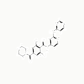 O=C(Nc1ccnc(Nc2ccncn2)c1)c1c(Cl)cc(C(=O)N2CCOCC2)cc1Cl